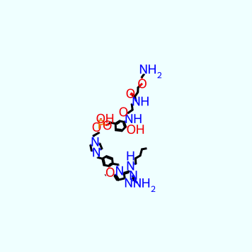 CCCCCNc1nc(N)nc2c#cn(Cc3ccc(CN4CCN(CCOP(O)OCc5ccc(O)c(NC(=O)CCNC(=O)CCOCCN)c5)CC4)cc3OC)c12